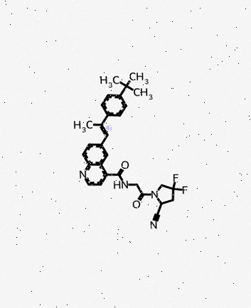 C/C(=C\c1ccc2nccc(C(=O)NCC(=O)N3CC(F)(F)CC3C#N)c2c1)c1ccc(C(C)(C)C)cc1